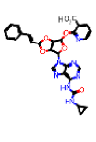 O=C(Nc1ncnc2c1ncn2C1OC(Oc2ncccc2C(=O)O)C2O[C@H](/C=C/c3ccccc3)OC21)NC1CC1